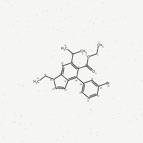 CCOC(=O)c1c(C(C)C)nc2c(cnn2CC)c1-c1cncc(Br)c1